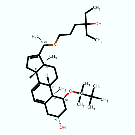 CCC(O)(CC)CCCS[C@@H](C)C1=CC[C@H]2C3=CC=C4C[C@@H](O)C[C@H](O[Si](C)(C)C(C)(C)C)[C@]4(C)[C@H]3CC[C@]12C